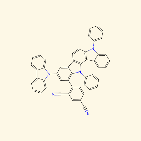 N#Cc1ccc(-c2cc(-n3c4ccccc4c4ccccc43)cc3c4ccc5c(c6ccccc6n5-c5ccccc5)c4n(-c4ccccc4)c23)c(C#N)c1